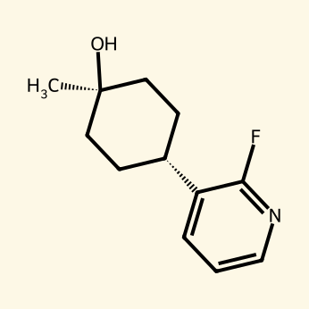 C[C@]1(O)CC[C@H](c2cccnc2F)CC1